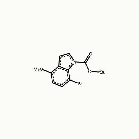 COc1ccc(Br)c2c1ccn2C(=O)OC(C)(C)C